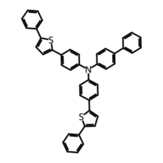 c1ccc(-c2ccc(N(c3ccc(-c4ccc(-c5ccccc5)s4)cc3)c3ccc(-c4ccc(-c5ccccc5)s4)cc3)cc2)cc1